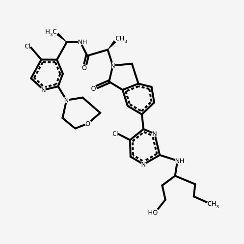 CCCC(CCO)Nc1ncc(Cl)c(-c2ccc3c(c2)C(=O)N([C@H](C)C(=O)N[C@H](C)c2cc(N4CCOCC4)ncc2Cl)C3)n1